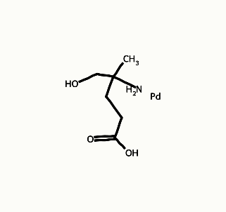 CC(N)(CO)CCC(=O)O.[Pd]